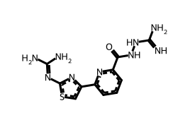 N=C(N)NNC(=O)c1cccc(-c2csc(N=C(N)N)n2)n1